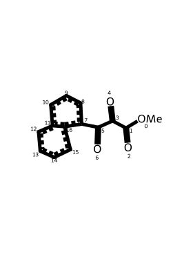 COC(=O)C(=O)C(=O)c1cccc2ccccc12